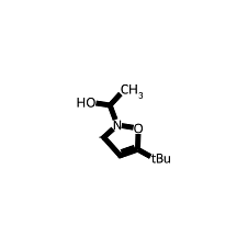 CC(O)N1[CH]C=C(C(C)(C)C)O1